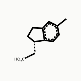 Cc1ccc2c(c1)CC[C@H]2CC(=O)O